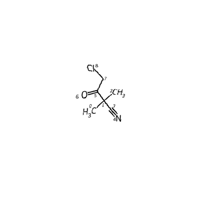 CC(C)(C#N)C(=O)CCl